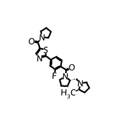 C[C@@H]1CCCN1C[C@@H]1CCCN1C(=O)c1ccc(-c2ncc(C(=O)N3CCCC3)s2)cc1F